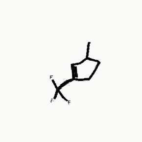 CC1C=C(C(F)(F)F)CC1